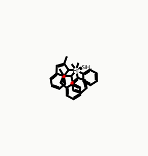 CC1=Cc2ccccc2[CH]1[Hf]([CH3])([CH3])(=[SiH2])([c]1ccccc1)([c]1ccccc1)[CH]1C(C)=Cc2ccccc21